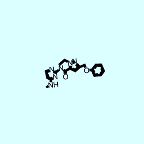 CNc1ccnc(N2CCn3nc(COc4ccccc4)cc3C2=O)n1